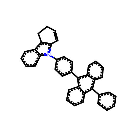 C1=Cc2c(c3ccccc3n2-c2ccc(-c3c4ccccc4c(-c4ccccc4)c4ccccc34)cc2)CC1